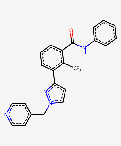 O=C(Nc1ccccc1)c1cccc(-c2ccn(Cc3ccncc3)n2)c1C(F)(F)F